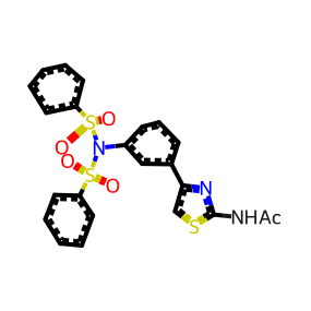 CC(=O)Nc1nc(-c2cccc(N(S(=O)(=O)c3ccccc3)S(=O)(=O)c3ccccc3)c2)cs1